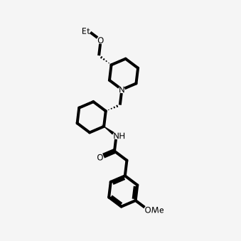 CCOC[C@@H]1CCCN(C[C@H]2CCCC[C@@H]2NC(=O)Cc2cccc(OC)c2)C1